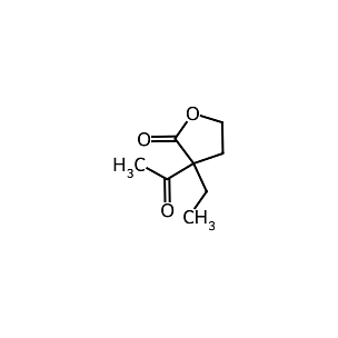 CCC1(C(C)=O)CCOC1=O